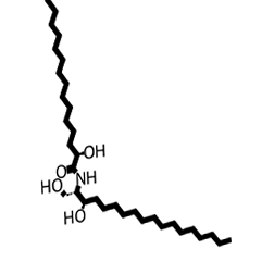 CCCCCCCCCCCCCCC[C@@H](O)[C@H](CO)NC(=O)[C@H](O)CCCCCCCCCCCCCC